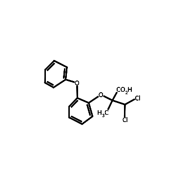 CC(Oc1ccccc1Oc1ccccc1)(C(=O)O)C(Cl)Cl